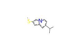 CSc1cc2cc(C(C)C)ccn2c1